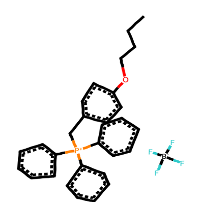 CCCCOc1ccc(C[P+](c2ccccc2)(c2ccccc2)c2ccccc2)cc1.F[B-](F)(F)F